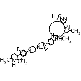 C=C1CCC(c2c(F)cc(N3CCC(N4CCN(c5ccc6c(c5)N5CCCCCCc7c(cnn7C)-c7cc(cc(C)n7)C(=C)/N=C/5N6)C5(CC5)C4)CC3)cc2F)C(=C)N1